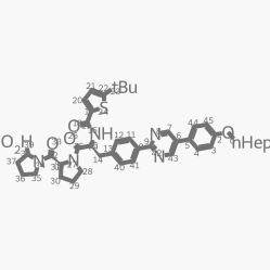 CCCCCCCOc1ccc(-c2cnc(-c3ccc(C[C@H](NC(=O)c4ccc(C(C)(C)C)s4)C(=O)N4CCC[C@H]4C(=O)N4CCCC4C(=O)O)cc3)nc2)cc1